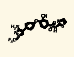 N#Cc1cc(S(=O)(=O)Nc2nccs2)ccc1Oc1ccc(-c2cn(CC(F)(F)F)nc2N)cc1